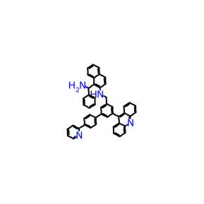 NC(c1ccccc1)c1c(NCc2cc(-c3ccc(-c4ccccn4)cc3)cc(-c3c4ccccc4nc4ccccc34)c2)ccc2ccccc12